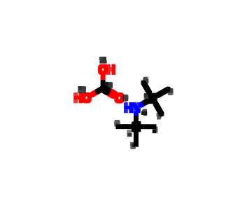 C[Si](C)(C)N[Si](C)(C)C.O=C(O)O